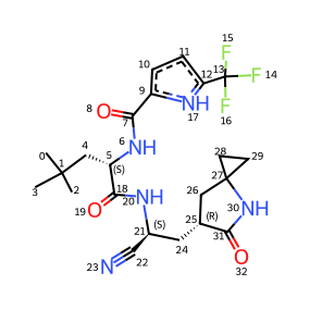 CC(C)(C)C[C@H](NC(=O)c1ccc(C(F)(F)F)[nH]1)C(=O)N[C@H](C#N)C[C@@H]1CC2(CC2)NC1=O